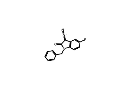 [N-]=[N+]=C1C(=O)N(Cc2ccccc2)c2ccc(F)cc21